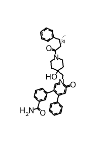 C[C@H](CC(=O)N1CCC(O)(Cn2cc(-c3cccc(C(N)=O)c3)c(-c3ccccc3)cc2=O)CC1)c1ccccc1